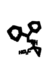 O=C(O)C1(NCC(c2ccccc2)c2ccccc2)CC1